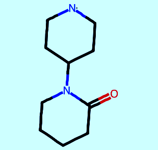 O=C1CCCCN1C1CC[N]CC1